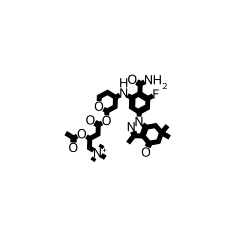 CC(=O)OC(CC(=O)OC1CC(Nc2cc(-n3nc(C)c4c3CC(C)(C)CC4=O)cc(F)c2C(N)=O)CCO1)C[N+](C)(C)C